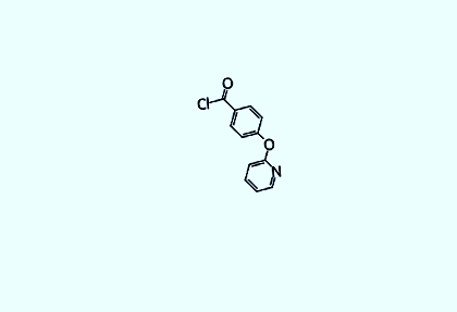 O=C(Cl)c1ccc(Oc2ccccn2)cc1